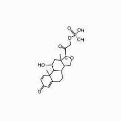 CC12C=CC(=O)C=C1CCC1C2C(O)CC2(C)C1CO[C@@H]2C(=O)COP(=O)(O)O